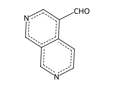 O=Cc1cncc2cnccc12